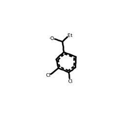 CCC([O])c1ccc(Cl)c(Cl)c1